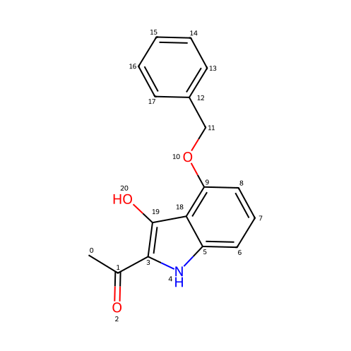 CC(=O)c1[nH]c2cccc(OCc3ccccc3)c2c1O